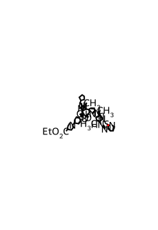 CCOC(=O)C1CCN(c2ccc(S(=O)(=O)NC(=O)c3nc(N(C)c4cc(C)c(Nc5nc6cccnc6s5)nn4)ccc3-c3cnn(CC4CCCC4)c3C)cc2)CC1